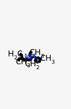 C=CC(=C/C)/C=C(\N)C(=C)/C=C(\C=C/C)Cc1cccc(C)c1